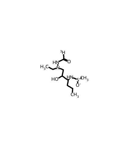 [3H]C(=O)NN(CC)CC(O)C(CCC)N[S+](C)[O-]